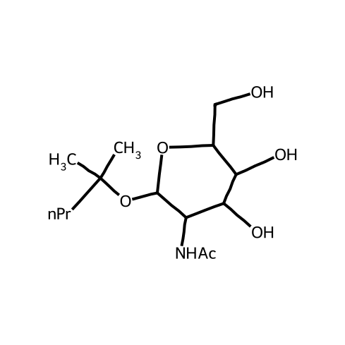 CCCC(C)(C)OC1OC(CO)C(O)C(O)C1NC(C)=O